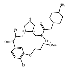 CCc1ccc(C(=O)N(C[C@@H]2CNC[C@H]2CN(C)C(=O)CC2CCC(N)CC2)C(C)C)cc1OCCCOC